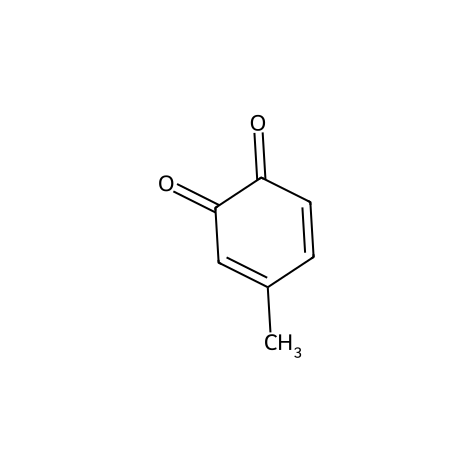 CC1=CC(=O)C(=O)C=C1